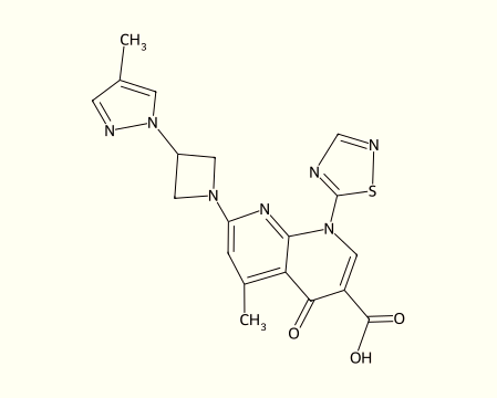 Cc1cnn(C2CN(c3cc(C)c4c(=O)c(C(=O)O)cn(-c5ncns5)c4n3)C2)c1